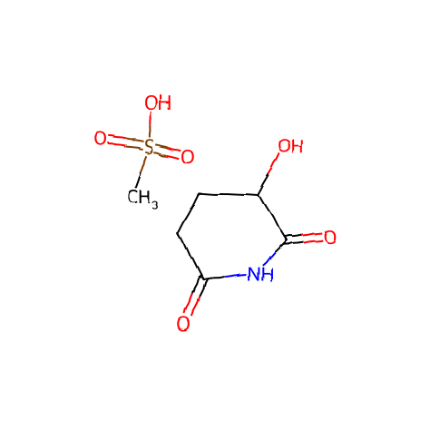 CS(=O)(=O)O.O=C1CCC(O)C(=O)N1